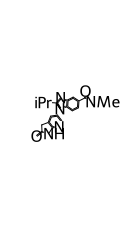 CNC(=O)c1ccc2c(c1)nc(C(C)C)n2-c1cnc2c(c1)CC(=O)N2